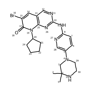 CC1(C)CN(c2ccc(Nc3ncc4cc(Br)c(=O)n(C5CCCC5)c4n3)nc2)CCN1